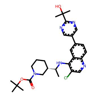 CC(Nc1c(Cl)cnc2ccc(-c3cnc(C(C)(C)O)nc3)cc12)[C@H]1CCCN(C(=O)OC(C)(C)C)C1